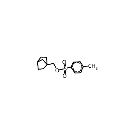 Cc1ccc(S(=O)(=O)OCC23CCC(CC2)C3)cc1